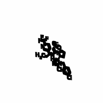 CC[C@H](N/C(=C/[N+](=O)[O-])N1CCC[C@@H]1c1nnc(C)n1Cc1ccc(Cl)cc1)c1ccc(C(F)(F)F)nc1